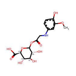 COc1cc(NCC(=O)OC2O[C@H](C(=O)O)[C@@H](O)[C@H](O)[C@H]2O)ccc1O